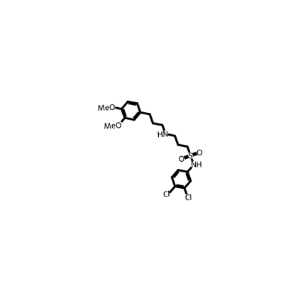 COc1ccc(CCCNCCCS(=O)(=O)Nc2ccc(Cl)c(Cl)c2)cc1OC